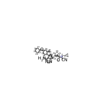 N#C/C(=C\C1CC1)C(=O)N1CCC[C@H]1Cn1nc(-c2ccc(Oc3ccccc3)cc2F)c2c(N)ncnc21